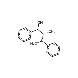 C[C@@H]([C@H](O)c1ccccc1)N(C)c1ccccc1